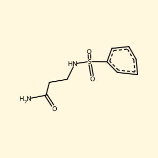 NC(=O)CCNS(=O)(=O)c1ccccc1